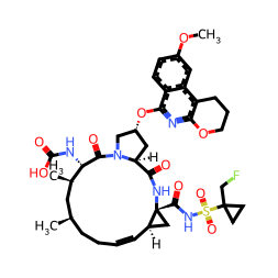 COc1ccc2c(O[C@@H]3C[C@H]4C(=O)N[C@]5(C(=O)NS(=O)(=O)C6(CF)CC6)C[C@H]5C=CCC[C@@H](C)C[C@@H](C)[C@H](NC(=O)O)C(=O)N4C3)nc3c(c2c1)CCCO3